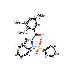 COc1cc(OC)c(OC)c(C(=O)c2cc3ccccc3n2S(=O)(=O)c2ccccc2)c1